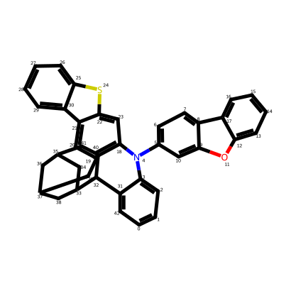 c1ccc(N(c2ccc3c(c2)oc2ccccc23)c2ccc3c(c2)sc2ccccc23)c(C2C3CC4CC(C3)CC2C4)c1